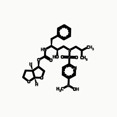 CB(O)c1ccc(S(=O)(=O)N(CC(C)C)C[C@@H](O)[C@H](Cc2ccccc2)NC(=O)O[C@H]2CO[C@H]3OCC[C@H]32)nc1